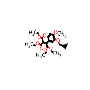 CCOC(=O)C(C(=O)OCC)C(c1ccc(OC)c(OCC2CC2)c1)C(OCC)OCC